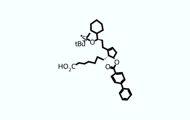 CC(C)(C)[Si](C)(C)O[C@H](CCC1=CC[C@H](OC(=O)c2ccc(-c3ccccc3)cc2)[C@@H]1CCCCCCC(=O)O)C1CCCCC1